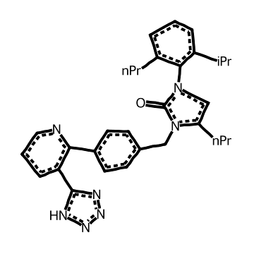 CCCc1cccc(C(C)C)c1-n1cc(CCC)n(Cc2ccc(-c3ncccc3-c3nnn[nH]3)cc2)c1=O